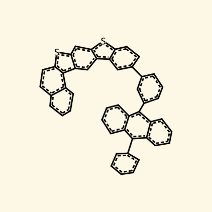 c1ccc(-c2c3ccccc3c(-c3cccc(-c4ccc5sc6cc7sc8ccc9ccccc9c8c7cc6c5c4)c3)c3ccccc23)cc1